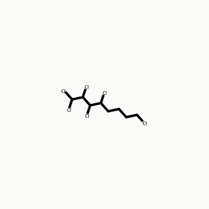 ClCCCCC(Cl)C(Cl)C(Cl)C(Cl)Cl